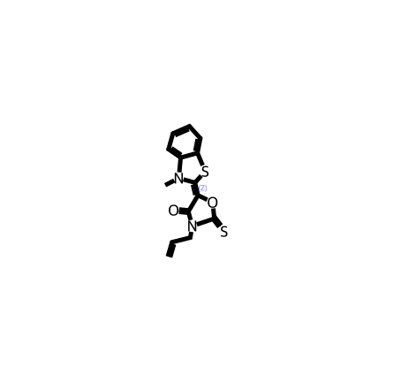 C=CCN1C(=O)/C(=C2/Sc3ccccc3N2C)OC1=S